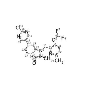 Cc1ccc(OC(F)F)c(Cn2c3cc(-c4cnc(Cl)nc4)ccc3c(=O)n2C)n1